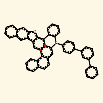 c1ccc(-c2cccc(-c3ccc(N(c4ccc5c(ccc6ccccc65)c4)c4ccccc4-c4cccc5c4oc4cc6ccccc6cc45)cc3)c2)cc1